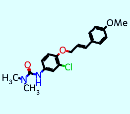 COc1ccc(C=CCOc2ccc(NC(=O)N(C)C)cc2Cl)cc1